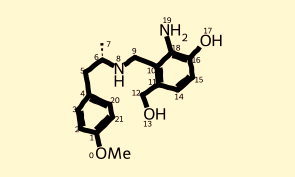 COc1ccc(C[C@H](C)NCc2c(CO)ccc(O)c2N)cc1